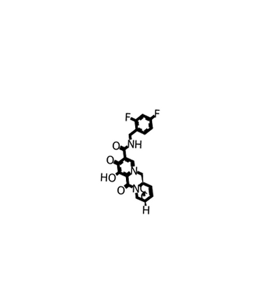 O=C(NCc1ccc(F)cc1F)c1cn2c(c(O)c1=O)C(=O)N1C[C@H]3C=C[C@@]1(CC3)C2